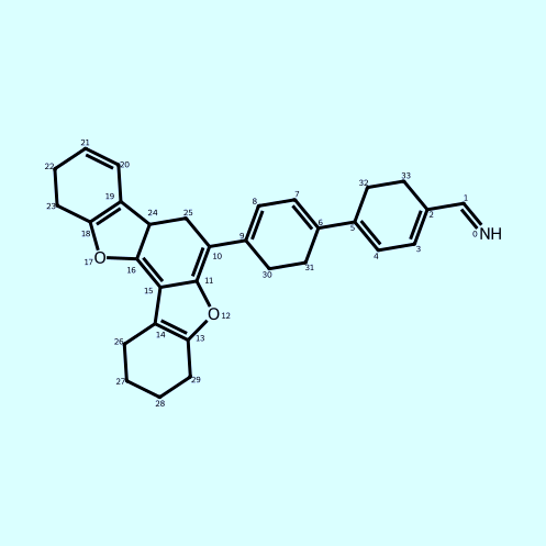 N=CC1=CC=C(C2=CC=C(C3=c4oc5c(c4=C4OC6=C(C=CCC6)C4C3)CCCC5)CC2)CC1